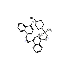 CC(C)(C)C1CCC(C(C)(C)/N=N\c2ccc(/N=N\c3ccc(N)c4ccccc34)c3ccccc23)CC1